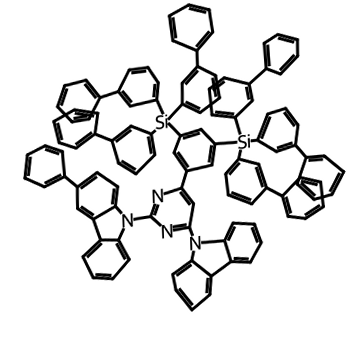 c1ccc(-c2cccc([Si](c3cccc(-c4ccccc4)c3)(c3cccc(-c4ccccc4)c3)c3cc(-c4cc(-n5c6ccccc6c6ccccc65)nc(-n5c6ccccc6c6cc(-c7ccccc7)ccc65)n4)cc([Si](c4cccc(-c5ccccc5)c4)(c4cccc(-c5ccccc5)c4)c4cccc(-c5ccccc5)c4)c3)c2)cc1